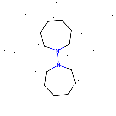 C1CCCN(N2CCCCCC2)CC1